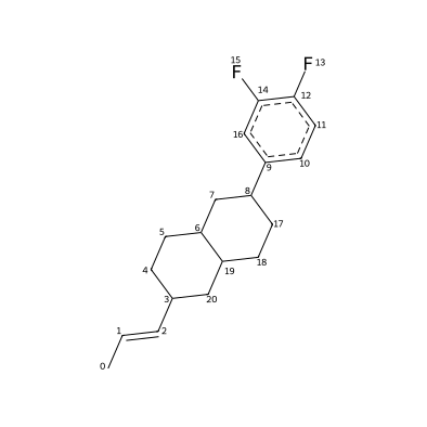 CC=CC1CCC2CC(c3ccc(F)c(F)c3)CCC2C1